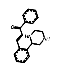 O=C(C=Cc1ccccc1C1CNCCN1)c1ccccc1